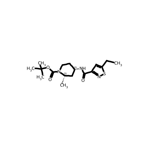 CCc1cc(C(=O)N[C@H]2CCN(C(=O)OC(C)(C)C)[C@@H](C)C2)ns1